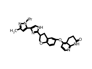 Cc1cc(-c2c[nH]c(C3COc4ccc(Oc5ccnc6c5CCC(=O)N6)cc4C3)n2)n(C(C)C)n1